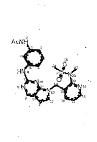 CC(=O)Nc1cccc(Nc2ncc3ccn(Cc4cccnc4N(C)S(C)(=O)=O)c3n2)c1